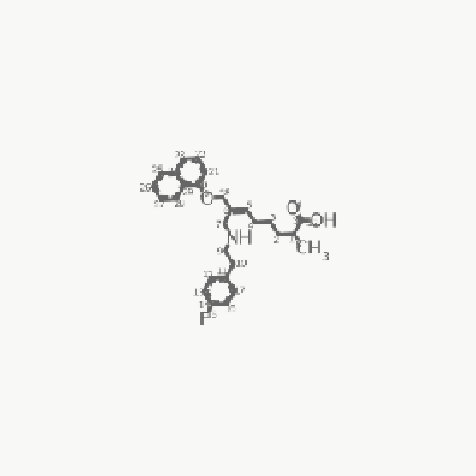 CC(CCCC=C(CNCCc1ccc(F)cc1)COc1cccc2ccccc12)C(=O)O